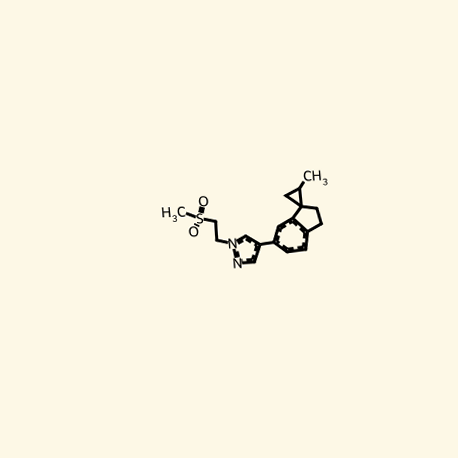 CC1CC12CCc1ccc(-c3cnn(CCS(C)(=O)=O)c3)cc12